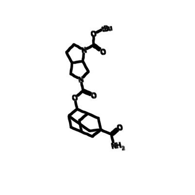 CC(C)(C)OC(=O)N1CCC2CN(C(=O)OC3C4CC5CC3CC(C(N)=O)(C5)C4)CC21